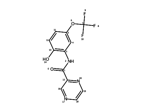 O=C(Nc1cc(OC(F)(F)F)ccc1O)c1cnccn1